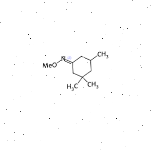 CO/N=C1/CC(C)CC(C)(C)C1